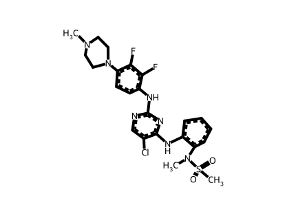 CN1CCN(c2ccc(Nc3ncc(Cl)c(Nc4ccccc4N(C)S(C)(=O)=O)n3)c(F)c2F)CC1